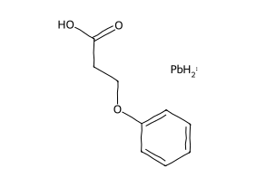 O=C(O)CCOc1ccccc1.[PbH2]